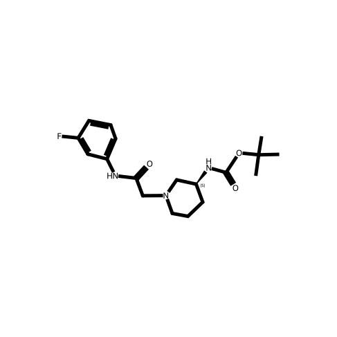 CC(C)(C)OC(=O)N[C@H]1CCCN(CC(=O)Nc2cccc(F)c2)C1